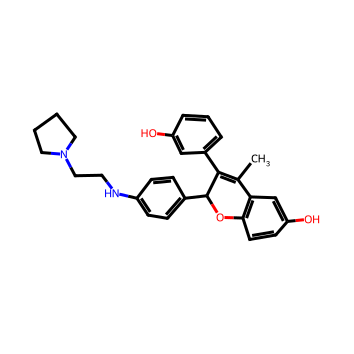 CC1=C(c2cccc(O)c2)C(c2ccc(NCCN3CCCC3)cc2)Oc2ccc(O)cc21